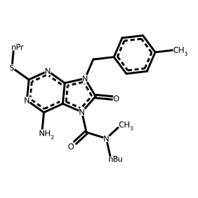 CCCCN(C)C(=O)n1c(=O)n(Cc2ccc(C)cc2)c2nc(SCCC)nc(N)c21